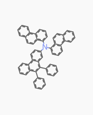 c1ccc(-c2c(-c3ccccc3)c3cc(N(c4cccc5c4ccc4ccccc45)c4cccc5c4ccc4ccccc45)ccc3c3ccccc23)cc1